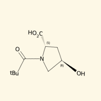 CC(C)(C)C(=O)N1C[C@H](O)C[C@H]1C(=O)O